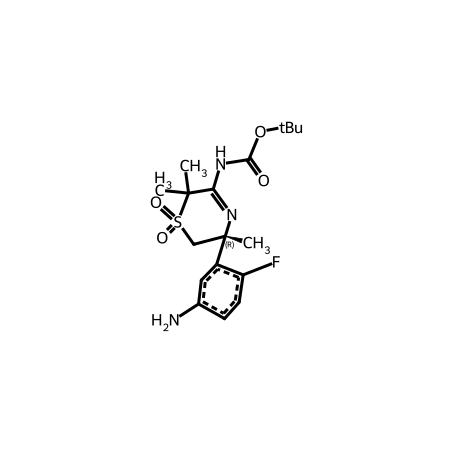 CC(C)(C)OC(=O)NC1=N[C@](C)(c2cc(N)ccc2F)CS(=O)(=O)C1(C)C